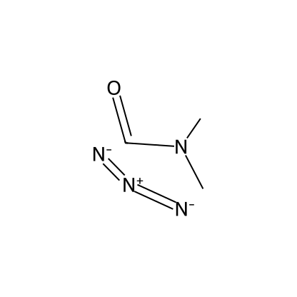 CN(C)C=O.[N-]=[N+]=[N-]